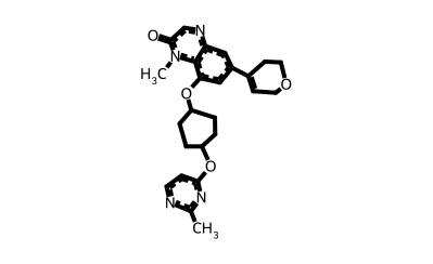 Cc1nccc(OC2CCC(Oc3cc(C4=CCOCC4)cc4ncc(=O)n(C)c34)CC2)n1